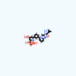 O=C(Nc1cn2c(-c3cccc(-c4cc(O)cc(P(=O)(O)O)n4)c3)cccc2n1)C1CC1